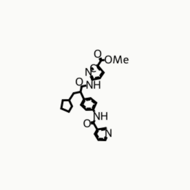 COC(=O)c1ccc(NC(=O)C(CC2CCCC2)c2ccc(NC(=O)c3cccnc3)cc2)nc1